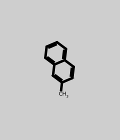 Cc1[c]cc2ccccc2[c]1